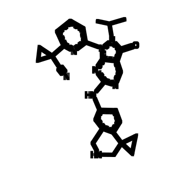 CC(C)n1c(=O)c2cnc(Nc3ccc4c(c3)CNCC43CC3)nc2n1-c1cccc(C2(C#N)CC2)n1